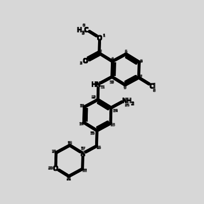 COC(=O)c1ccc(Cl)cc1Nc1ccc(CN2CCOCC2)cc1N